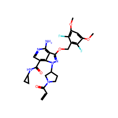 C=CC(=O)N1CCC(n2nc(OCc3c(F)c(OC)cc(OC)c3F)c3c(N)ncc(C(=O)NC4CC4)c32)C1